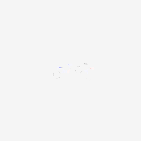 CC(NC(=O)c1ccc2c(c#cc(=O)n2C2CCC2)c1)c1nc2cc(Cl)ccc2[nH]1